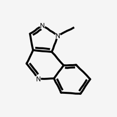 Cn1ncc2cnc3ccccc3c21